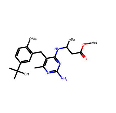 CCCCC(CC(=O)OC(C)(C)C)Nc1nc(N)nc(C)c1Cc1cc(C(C)(C)C#N)ccc1OC